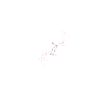 CC(C)=CCC[C@](C)(O[C@@H]1O[C@H](CO[C@@H]2OC[C@@H](O)[C@@H](O)[C@@H]2O)[C@@H](O)[C@H](O)[C@H]1O)[C@H]1CC[C@]2(C)[C@@H]1[C@H](O)C[C@@H]1[C@@]3(C)CC[C@H](O[C@@H]4O[C@H](CO)[C@@H](O)[C@H](O)[C@H]4O[C@@H]4O[C@H](CO)[C@@H](O)[C@H](O)[C@H]4O)C(C)(C)[C@@H]3[C@@H](O)C[C@]12C